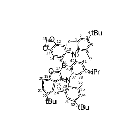 Cc1cc(C(C)(C)C)cc(C)c1N1c2cc3c(cc2B2c4oc5ccc(C(C)(C)C)cc5c4N(c4c(C)cc(C(C)(C)C)cc4C)c4cc(C(C)C)cc1c42)OCO3